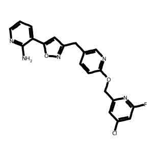 Nc1ncccc1-c1cc(Cc2ccc(OCc3cc(Cl)cc(F)n3)nc2)no1